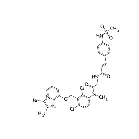 Cc1nc2c(OCc3c(Cl)ccc(N(C)C(=O)CNC(=O)/C=C/c4ccc(NS(C)(=O)=O)cc4)c3Cl)cccn2c1Br